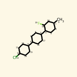 CC1CCC(C2CCC(C3CCC(Cl)CC3)CC2)C(F)C1